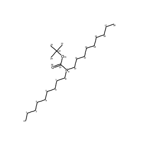 CCCCCCCCCN(CCCCCCCCC)C(=O)OC(C)(C)C